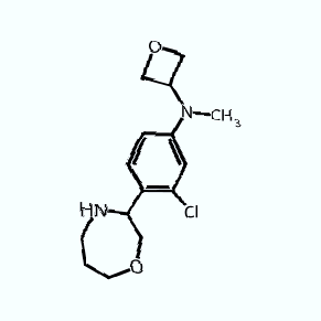 CN(c1ccc(C2COCCCN2)c(Cl)c1)C1COC1